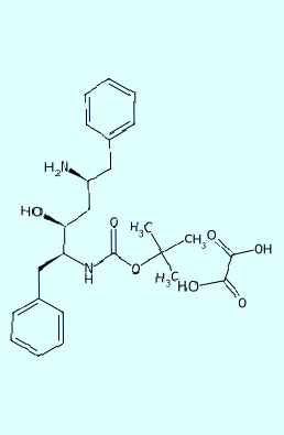 CC(C)(C)OC(=O)N[C@@H](Cc1ccccc1)[C@@H](O)C[C@@H](N)Cc1ccccc1.O=C(O)C(=O)O